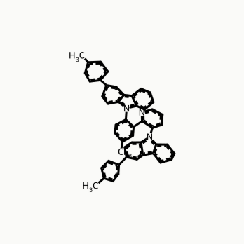 Cc1ccc(-c2ccc3c(c2)c2ccccc2n3-c2ccc(C(F)(F)F)cc2-c2ncccc2-n2c3ccccc3c3cc(-c4ccc(C)cc4)ccc32)cc1